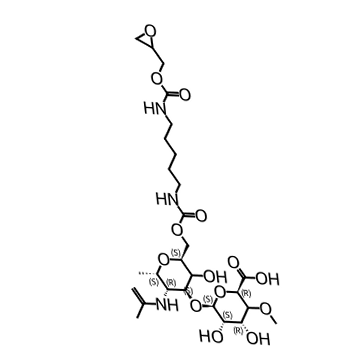 C=C(C)N[C@@H]1[C@H](C)O[C@@H](COC(=O)NCCCCCNC(=O)OCC2CO2)C(O)[C@H]1O[C@H]1O[C@@H](C(=O)O)C(OC)[C@H](O)[C@@H]1O